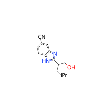 CC(C)CC(CO)c1nc2cc(C#N)ccc2[nH]1